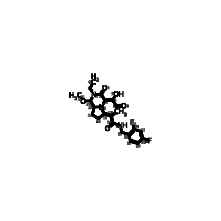 CCN1C(=O)/C(=C(\O)C=O)N2/C(=C(\C)C(=O)NCc3ccc(F)cc3F)CCC2C1OC